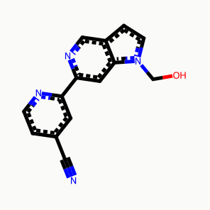 N#Cc1ccnc(-c2cc3c(ccn3CO)cn2)c1